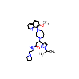 COc1ccc2cccnc2c1N1CCCN([C@H](CC(=O)NCCN2CCCC2)c2ccn(C(C)C)n2)CC1